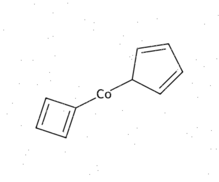 C1=C[C]([Co][CH]2C=CC=C2)=C1